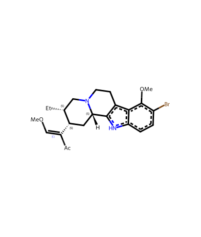 CC[C@@H]1CN2CCc3c([nH]c4ccc(Br)c(OC)c34)[C@@H]2C[C@@H]1/C(=C\OC)C(C)=O